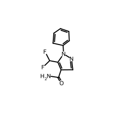 NC(=O)c1cnn(-c2ccccc2)c1C(F)F